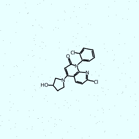 O=c1cc(N2CCC(O)C2)c2ccc(Cl)nc2n1-c1ccccc1Cl